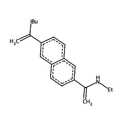 C=C(NCC)c1ccc2cc(C(=C)C(C)CC)ccc2c1